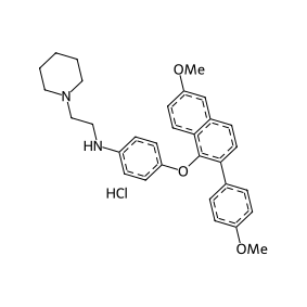 COc1ccc(-c2ccc3cc(OC)ccc3c2Oc2ccc(NCCN3CCCCC3)cc2)cc1.Cl